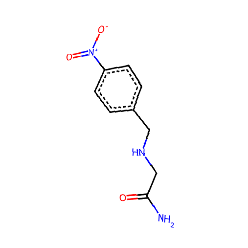 NC(=O)CNCc1ccc([N+](=O)[O-])cc1